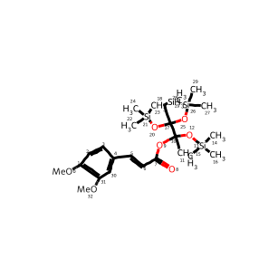 COc1ccc(C=CC(=O)OC(C)(O[Si](C)(C)C)C(C[SiH3])(O[Si](C)(C)C)O[Si](C)(C)C)cc1OC